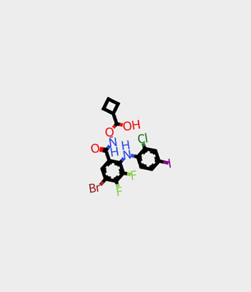 O=C(NOC(O)C1CCC1)c1cc(Br)c(F)c(F)c1Nc1ccc(I)cc1Cl